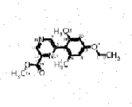 CCOc1cc(C)c(-c2cncc(C(=O)OC)n2)c(C)c1